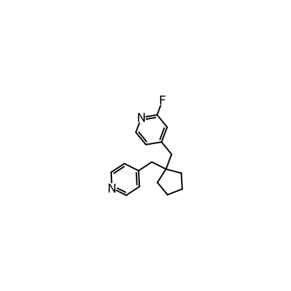 Fc1cc(CC2(Cc3ccncc3)CCCC2)ccn1